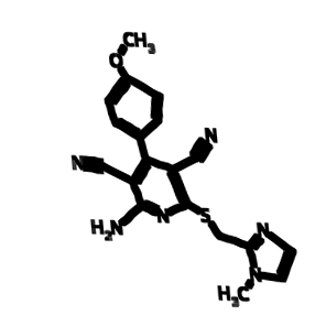 COc1ccc(-c2c(C#N)c(N)nc(SCc3nccn3C)c2C#N)cc1